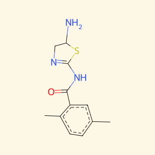 Cc1ccc(C)c(C(=O)NC2=NCC(N)S2)c1